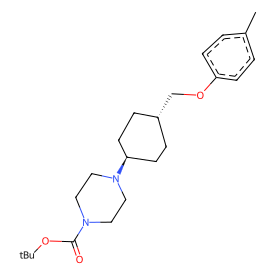 Cc1ccc(OC[C@H]2CC[C@H](N3CCN(C(=O)OC(C)(C)C)CC3)CC2)cc1